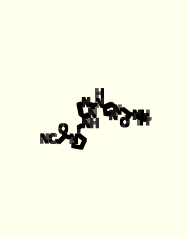 CC(C)NC(=O)Cn1cc(Nc2nccc(NC[C@H]3CCCN3C(=O)CC#N)n2)cn1